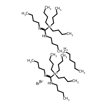 CCCCCC.CCCCN=C(NCCCC)[N+](CCCC)(CCCC)CCCC.CCCCN=C(NCCCC)[N+](CCCC)(CCCC)CCCC.[Br-].[Br-]